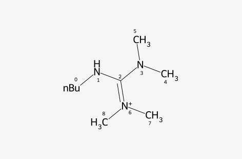 CCCCNC(N(C)C)=[N+](C)C